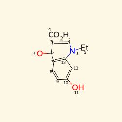 CCn1cc(C(=O)O)c(=O)c2ccc(O)cc21